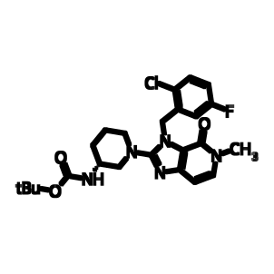 Cn1ccc2nc(N3CCC[C@@H](NC(=O)OC(C)(C)C)C3)n(Cc3cc(F)ccc3Cl)c2c1=O